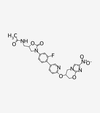 CC(=O)NCC1CN(c2ccc(-c3ccc(OC4COc5nc([N+](=O)[O-])cn5C4)nc3)c(F)c2)C(=O)O1